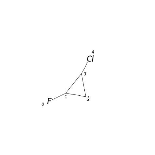 FC1[CH]C1Cl